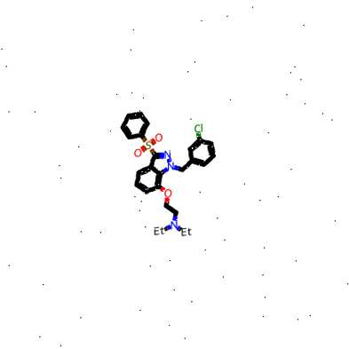 CCN(CC)CCOc1cccc2c(S(=O)(=O)c3ccccc3)nn(Cc3cccc(Cl)c3)c12